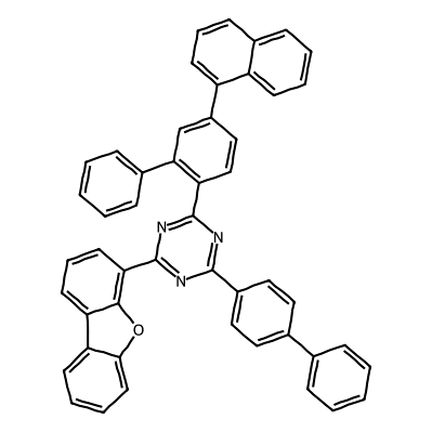 c1ccc(-c2ccc(-c3nc(-c4ccc(-c5cccc6ccccc56)cc4-c4ccccc4)nc(-c4cccc5c4oc4ccccc45)n3)cc2)cc1